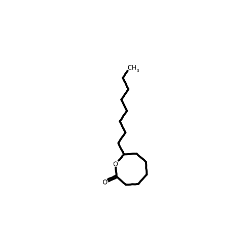 CCCCCCCCC1CCCCCC(=O)O1